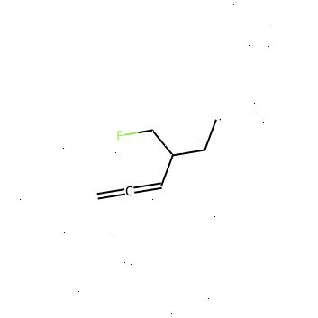 [CH2]CC(C=C=C)CF